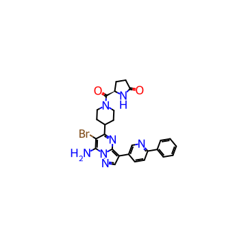 Nc1c(Br)c(C2CCN(C(=O)[C@H]3CCC(=O)N3)CC2)nc2c(-c3ccc(-c4ccccc4)nc3)cnn12